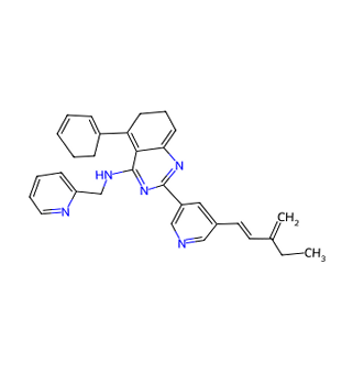 C=C(/C=C/c1cncc(-c2nc(NCc3ccccn3)c3c(n2)=CCCC=3C2=CC=CCC2)c1)CC